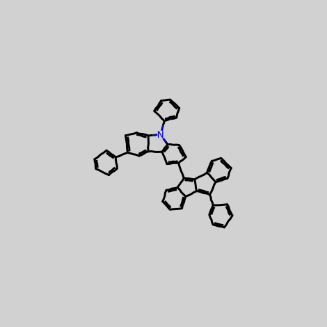 c1ccc(C2=C3C(=C(c4ccc5c(c4)c4cc(-c6ccccc6)ccc4n5-c4ccccc4)c4ccccc43)c3ccccc32)cc1